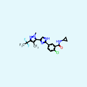 Cn1nc(C(F)(F)C(F)(F)F)c(C(F)(F)F)c1-c1c[nH]c(-c2ccc(Cl)c(C(=O)NC3CC3)c2)n1